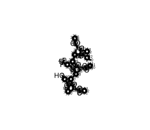 Cc1ccc(C2=N[C@]3(Cc4ccccc4)C(=O)N(CCS(=O)(=O)c4ccccc4)Cc4ccc(-c5cccc(C[C@]67N=C(c8ccc(C(F)(F)F)cc8)O[C@H]6c6cc(-c8cccc(C[C@]9%10N=C(c%11ccc(O)cc%11)O[C@H]9c9ccccc9CN(CCS(=O)(=O)c9ccccc9)C%10=O)c8)ccc6CN(CCS(=O)(=O)c6ccccc6)C7=O)c5)cc4[C@@H]3O2)cc1